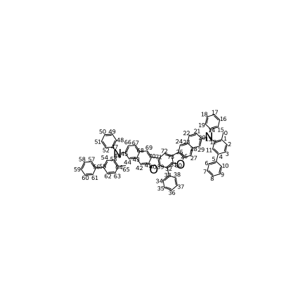 Cc1ccc(-c2ccccc2)cc1N(c1ccccc1)c1ccc2cc3c(cc2c1)oc1c(-c2ccccc2)c2oc4cc5cc(N(c6ccccc6)c6cc(-c7ccccc7)ccc6C)ccc5cc4c2cc13